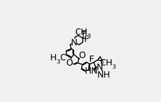 Cc1cc(CN2CCC(F)(F)[C@H](C)C2)cc2c(=O)c(-c3cccc(C(F)(C(=N)N(C)C=N)C4CC4)c3)coc12